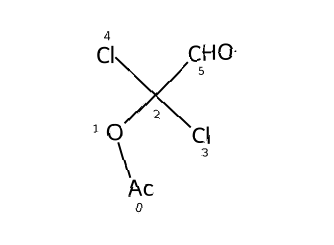 CC(=O)OC(Cl)(Cl)[C]=O